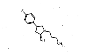 CCCCN1CC(c2ccc(F)cc2)SC1=N